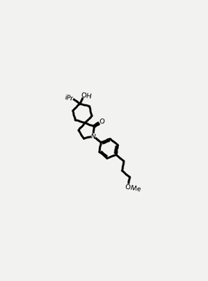 COCCCc1ccc(N2CCC3(CCC(O)(C(C)C)CC3)C2=O)cc1